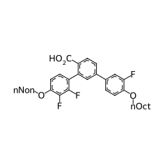 CCCCCCCCCOc1ccc(-c2cc(-c3ccc(OCCCCCCCC)c(F)c3)ccc2C(=O)O)c(F)c1F